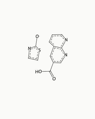 O=C(O)c1cnc2ncccc2c1.[O]c1nccs1